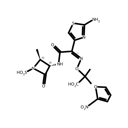 C[C@H]1[C@H](NC(=O)/C(=N\OC(C)(C)C(=O)O)c2csc(N)n2)C(=O)N1S(=O)(=O)O.O=[N+]([O-])c1ccco1